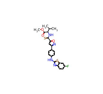 COC(=O)C(NC(=S)c1cc(-c2ccc(Nc3nc4ccc(F)cc4s3)cc2)no1)C(C)C